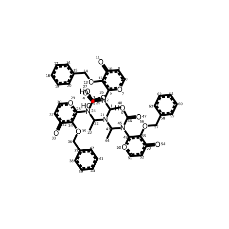 CC(N(C(=O)O)c1occc(=O)c1OCc1ccccc1)N(C(C)N(C(=O)O)c1occc(=O)c1OCc1ccccc1)C(C)N(C(=O)O)c1occc(=O)c1OCc1ccccc1